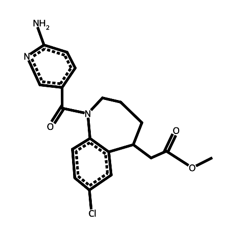 COC(=O)CC1CCCN(C(=O)c2ccc(N)nc2)c2ccc(Cl)cc21